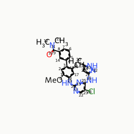 COc1cc(-c2cccc(C(=O)N(C)C)c2)c(C)cc1Nc1ncc(Cl)c(Nc2cc(C)[nH]n2)n1